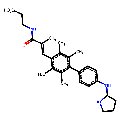 C/C(=C\c1c(C)c(C)c(-c2ccc(NC3CCCN3)cc2)c(C)c1C)C(=O)NCCC(=O)O